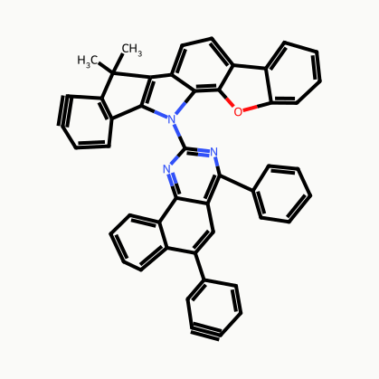 CC1(C)c2c#cccc2-c2c1c1ccc3c4ccccc4oc3c1n2-c1nc(-c2ccccc2)c2cc(-c3cc#ccc3)c3ccccc3c2n1